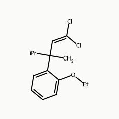 CCOc1ccccc1C(C)(C=C(Cl)Cl)C(C)C